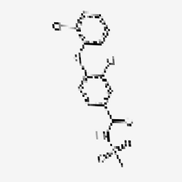 CS(=O)(=O)NC(=O)c1ccc(Oc2ccccc2Cl)c(Cl)c1